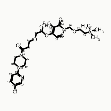 CC(COCCC(=O)N1CCN(c2ccc(Cl)cn2)CC1)Oc1cnn(COCC[Si](C)(C)C)c(=O)c1C(F)(F)F